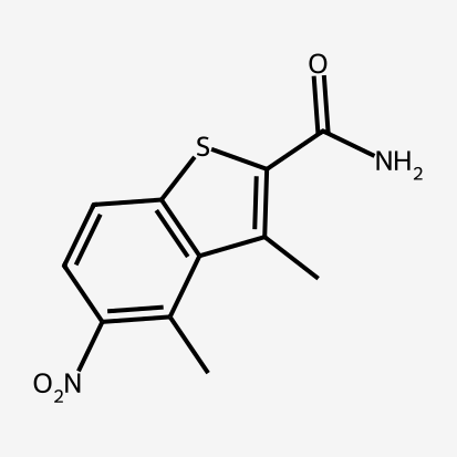 Cc1c([N+](=O)[O-])ccc2sc(C(N)=O)c(C)c12